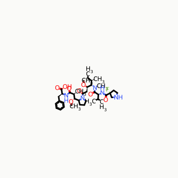 CC[C@H](C)[C@@H]([C@@H](CC(=O)N1CCCC1[C@H](OC)[C@@H](C)C(=O)N[C@@H](Cc1ccccc1)C(=O)O)OC)N(C)C(=O)[C@@H](NC(=O)[C@]1(F)CCNC1)C(C)C